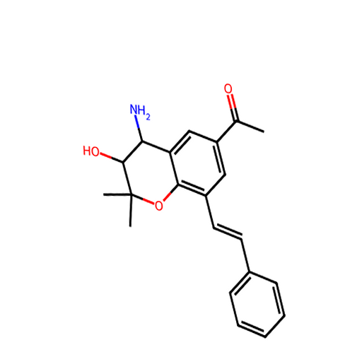 CC(=O)c1cc(C=Cc2ccccc2)c2c(c1)C(N)C(O)C(C)(C)O2